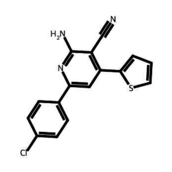 N#Cc1c(-c2cccs2)cc(-c2ccc(Cl)cc2)nc1N